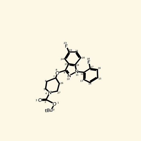 CC(C)(C)OC(=O)N1CCC(Oc2nn(-c3ccccc3F)c3ccc(F)cc23)CC1